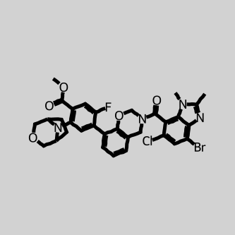 COC(=O)c1cc(F)c(-c2cccc3c2OCN(C(=O)c2c(Cl)cc(Br)c4nc(C)n(C)c24)C3)cc1N1C2CCC1COC2